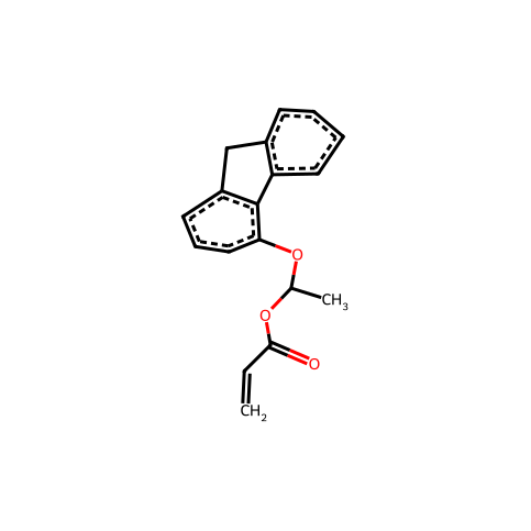 C=CC(=O)OC(C)Oc1cccc2c1-c1ccccc1C2